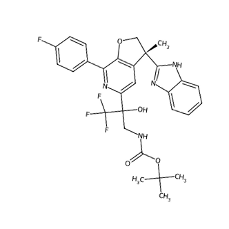 CC(C)(C)OC(=O)NCC(O)(c1cc2c(c(-c3ccc(F)cc3)n1)OC[C@]2(C)c1nc2ccccc2[nH]1)C(F)(F)F